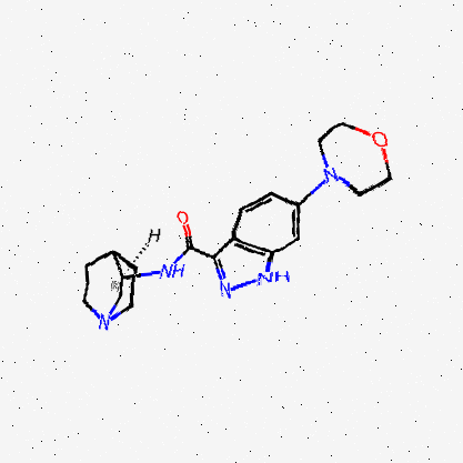 O=C(N[C@H]1CN2CCC1CC2)c1n[nH]c2cc(N3CCOCC3)ccc12